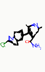 Cc1cc(C(N)=O)c(-c2ccc3nc(Cl)ccc3c2)c(C)n1